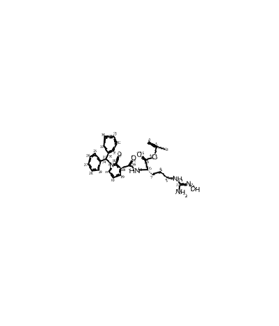 C=C(C)OC(=O)[C@H](CCCN/C(N)=N/O)NC(=O)c1cccn(C(c2ccccc2)c2ccccc2)c1=O